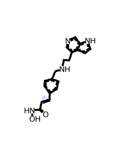 O=C(/C=C/c1ccc(CNCCc2cncc3[nH]ccc23)cc1)NO